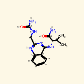 CC(C)[C@H](Nc1nc(CNC(N)=O)nc2ccccc12)C(N)=O